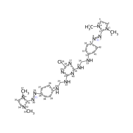 Cn1cc[n+](C)c1/N=N/c1ccc(NCNc2nc(Cl)nc(NCNc3ccc(/N=N/c4n(C)cc[n+]4C)cc3)n2)cc1